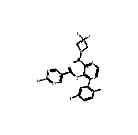 CC(C)c1ncc(C(=O)Nc2c(-c3cc(F)ccc3F)ccnc2C(C)N2CC(F)(F)C2)cn1